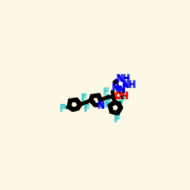 N=CN(CC(O)(c1ccc(F)cc1F)C(F)(F)c1ccc(C(F)(F)c2ccc(F)cc2)cn1)N=N